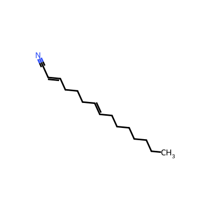 CCCCCCCC=CCCCC=CC#N